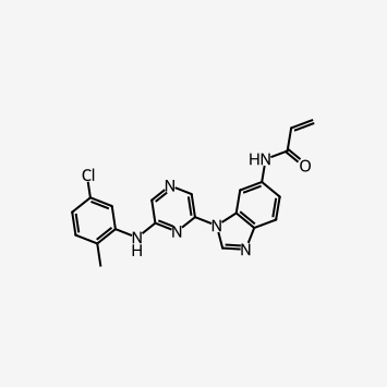 C=CC(=O)Nc1ccc2ncn(-c3cncc(Nc4cc(Cl)ccc4C)n3)c2c1